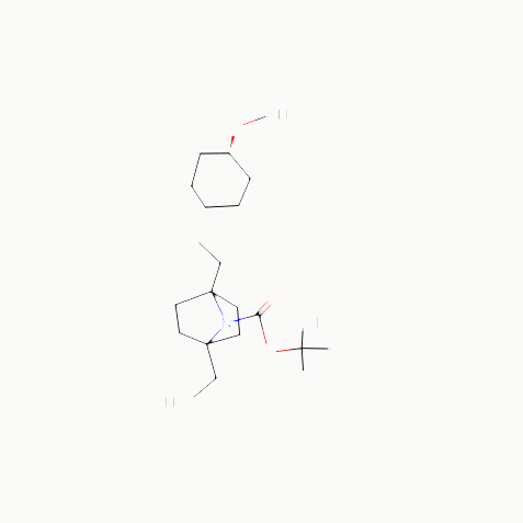 CCC12CCC(CC[C@H]3CC[C@H](OC)CC3)(CC1)N2C(=O)OC(C)(C)C